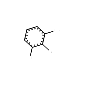 [CH2]CCc1c(Cl)cccc1[N+](=O)[O-]